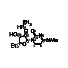 CC[C@H]1O[C@@H](n2ccc(NC)nc2=O)C(OPP)[C@H]1O